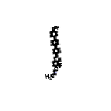 C/C=C/Oc1ccc(CCc2ccc(-c3ccc(C4CCC(CCC)CC4)cc3)cc2)c(F)c1F